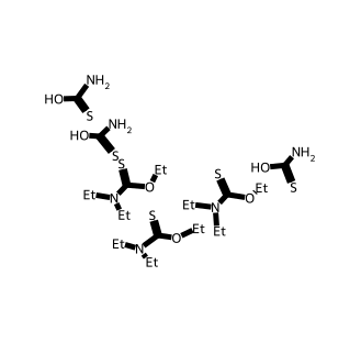 CCOC(=S)N(CC)CC.CCOC(=S)N(CC)CC.CCOC(=S)N(CC)CC.NC(O)=S.NC(O)=S.NC(O)=S